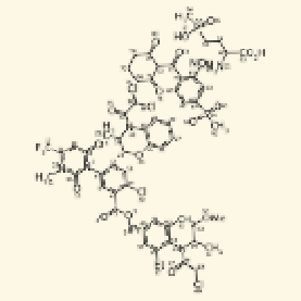 CC(C)OC(=O)c1cc(-n2c(=O)cc(C(F)(F)F)n(C)c2=O)ccc1Cl.CC1COc2ccccc2N1C(=O)C(Cl)Cl.CCc1cccc(C)c1N(C(=O)CCl)C(C)COC.CP(=O)(O)CCC(N)C(=O)O.CS(=O)(=O)c1ccc(C(=O)C2C(=O)CCCC2=O)c([N+](=O)[O-])c1